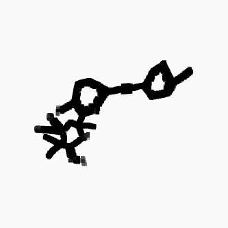 Cc1ccc(C#Cc2ccc(F)c(C3(C)CS(=O)(=O)C(C)(C)C(=N)N3)n2)cc1